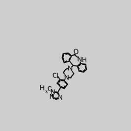 Cn1ncnc1-c1ccc(N2CCN(C3c4ccccc4NC(=O)c4ccccc43)CC2)c(Cl)c1